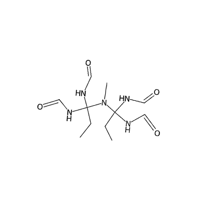 CCC(NC=O)(NC=O)N(C)C(CC)(NC=O)NC=O